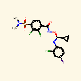 CN(C)S(=O)(=O)c1ccc(C(=O)NOC(Nc2ccc(I)cc2Cl)C2CC2)c(F)c1F